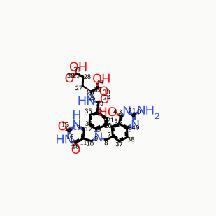 Nc1nc(O)c2cc(CN(Cc3c[nH]c(=O)[nH]c3=O)c3ccc(C(=O)N[C@@H](CCC(=O)O)C(=O)O)cc3)ccc2n1